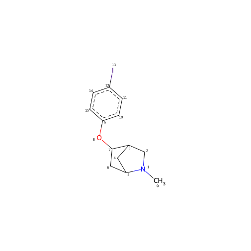 CN1CC2CC1CC2Oc1ccc(I)cc1